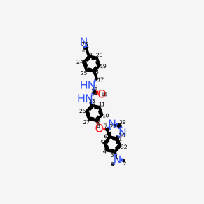 CN(C)c1ccc2c(Oc3ccc(NC(=O)NCc4ccc(C#N)cc4)cc3)ncnc2c1